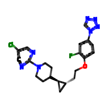 Fc1cc(-n2cnnn2)ccc1OCC[C@@H]1C[C@H]1C1CCN(c2ncc(Cl)cn2)CC1